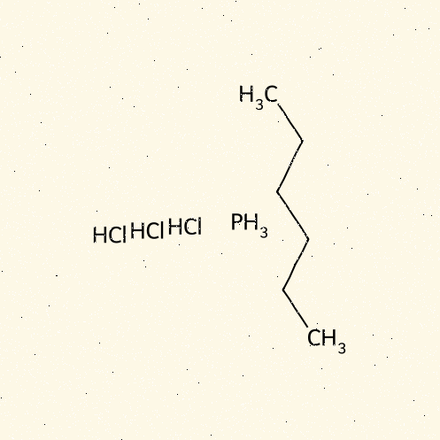 CCCCCC.Cl.Cl.Cl.P